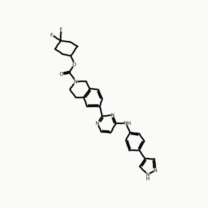 O=C(OC1CCC(F)(F)CC1)N1CCc2cc(-c3nccc(Nc4ccc(-c5cn[nH]c5)cc4)n3)ccc2C1